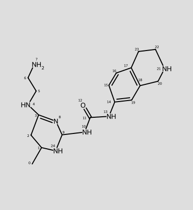 CC1CC(NCCN)=NC(NC(=O)Nc2ccc3c(c2)CNCC3)N1